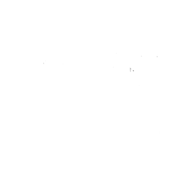 COc1ccc(N(C(=O)c2ccccc2)S(=O)(=O)c2ccc(OC)cc2)cc1